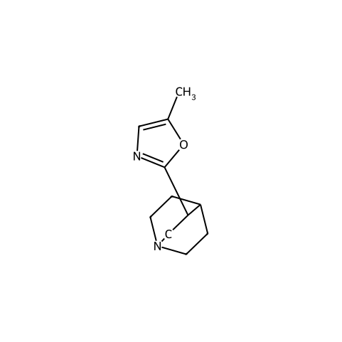 Cc1cnc(C2CN3CCC2CC3)o1